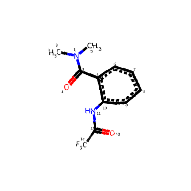 CN(C)C(=O)c1ccccc1NC(=O)C(F)(F)F